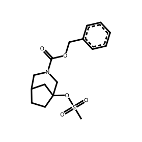 CS(=O)(=O)OC12CCC(CN(C(=O)OCc3ccccc3)C1)C2